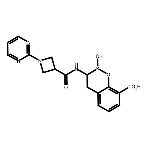 O=C(O)c1cccc2c1OB(O)C(NC(=O)C1CN(c3ncccn3)C1)C2